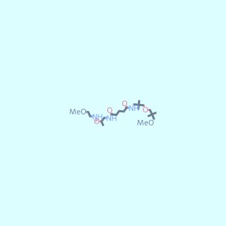 COCCNOC(C)CNC(=O)CCCC(=O)NCC(C)(C)COCC(C)(C)COC